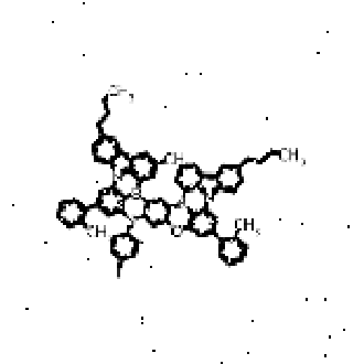 CCCCc1ccc2c(c1)c1cccc3c1n2-c1cc(-c2ccccc2C)cc2c1B3c1cc3c(cc1O2)N(c1ccc(I)cc1)c1cc(-c2ccccc2C)cc2c1B3c1cc(C)cc3c4cc(CCCC)ccc4n-2c13